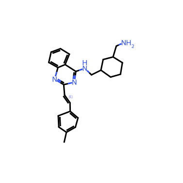 Cc1ccc(/C=C/c2nc(NCC3CCCC(CN)C3)c3ccccc3n2)cc1